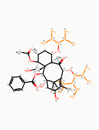 CC(=O)O[C@@]1(CO)[C@H](C)C[C@H](OP(P(P)P)P(P)P)[C@@]2(C)C(=O)[C@H](OP(P(P)P)P(PP)P(P)P)C3=C(C)[C@@H](O)C[C@@](O)([C@@H](OC(=O)c4ccccc4)[C@H]12)C3(C)C